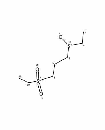 CC[S+]([O-])CCCS(=O)(=O)CC